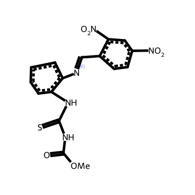 COC(=O)NC(=S)Nc1ccccc1/N=C/c1ccc([N+](=O)[O-])cc1[N+](=O)[O-]